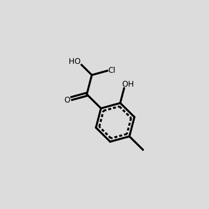 Cc1ccc(C(=O)C(O)Cl)c(O)c1